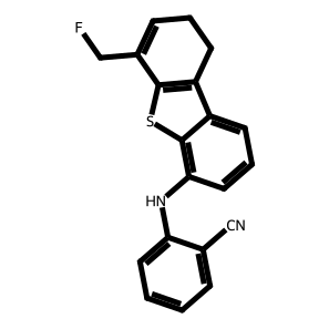 N#Cc1ccccc1Nc1cccc2c3c(sc12)C(CF)=CCC3